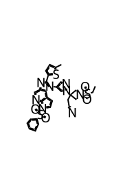 CCS(=O)(=O)N1CC(CC#N)(n2cc(-n3c(-c4ccc(C)s4)nc4cnc5c(ccn5S(=O)(=O)c5ccccc5)c43)cn2)C1